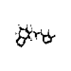 O=C(Nc1cccc(I)c1I)Nc1c(O)c(=O)[nH]c2ccccc2c1=O